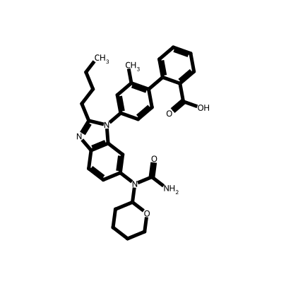 CCCCc1nc2ccc(N(C(N)=O)C3CCCCO3)cc2n1-c1ccc(-c2ccccc2C(=O)O)c(C)c1